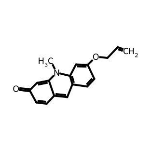 C=CCOc1ccc2cc3ccc(=O)cc-3n(C)c2c1